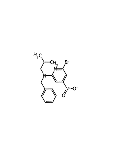 CC(C)CN(Cc1ccccc1)c1cc([N+](=O)[O-])cc(Br)n1